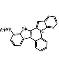 CCCCCCc1cccc2c1[N]c1c-2c2ccccc2n2c1cc1ccccc12